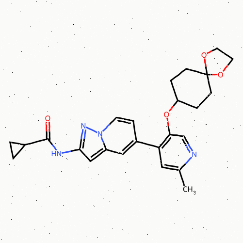 Cc1cc(-c2ccn3nc(NC(=O)C4CC4)cc3c2)c(OC2CCC3(CC2)OCCO3)cn1